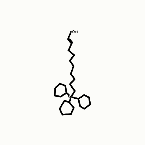 CCCCCCCCC=CCCCCCCC[CH2][Sn]([CH]1CCCCC1)([CH]1CCCCC1)[CH]1CCCCC1